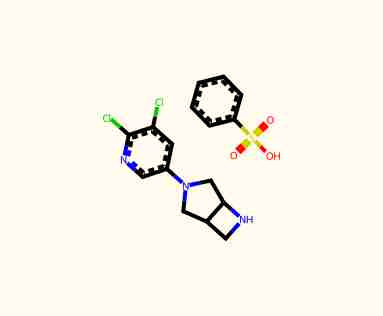 Clc1cc(N2CC3CNC3C2)cnc1Cl.O=S(=O)(O)c1ccccc1